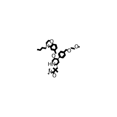 CCCCN1CCOc2ccc(CO[C@H]3CN[C@@H](CC(C)(C)C(=O)N(C)C)C[C@@H]3c3ccc(COCCOC)cc3)cc21